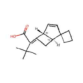 CC(C)(C)C(C(=O)O)=C1C[C@H]2[C@H]1C=CC21CCC1